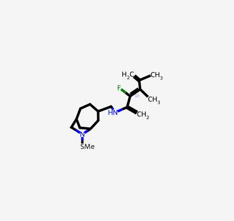 C=C(C)/C(C)=C(\F)C(=C)NCC1CCC2CC(C1)N(SC)C2